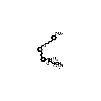 COc1ccc(CCCCOCc2cccc(C=Cc3cccc(NC(=O)CCC(C)(C)C(=O)O)c3)n2)cc1